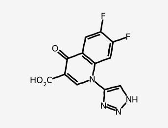 O=C(O)c1cn(-c2c[nH]nn2)c2cc(F)c(F)cc2c1=O